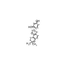 CC1(C)CCc2c(ccc3c2OC[C@H](c2ccc(O)cc2O)C3)O1